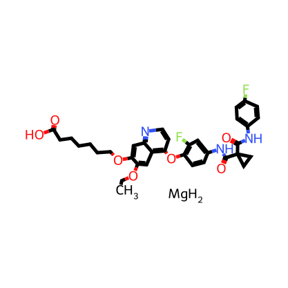 CCOc1cc2c(Oc3ccc(NC(=O)C4(C(=O)Nc5ccc(F)cc5)CC4)cc3F)ccnc2cc1OCCCCCCC(=O)O.[MgH2]